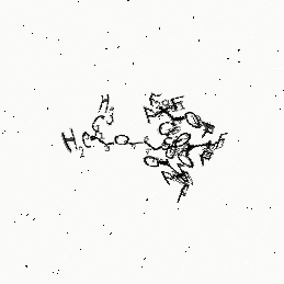 C=C(C)COCCC[Si](OC(=O)C(F)(F)F)(OC(=O)C(F)(F)F)OC(=O)C(F)(F)F